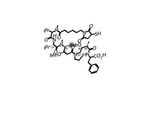 CC[C@H](C)[C@@H]([C@@H](CC(=O)N1CCC[C@H]1[C@H](OC)[C@@H](C)C(=O)NC(Cc1ccccc1)C(=O)O)OC)N(C)C(=O)[C@@H](NC(=O)C(C(C)C)N(C)C(=O)CCCCCN1C(=O)CC(S)C1=O)C(C)C